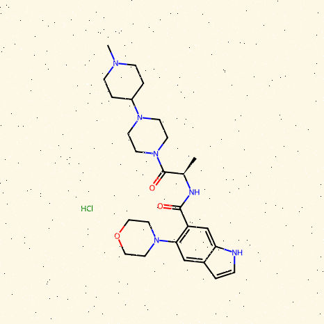 C[C@@H](NC(=O)c1cc2[nH]ccc2cc1N1CCOCC1)C(=O)N1CCN(C2CCN(C)CC2)CC1.Cl